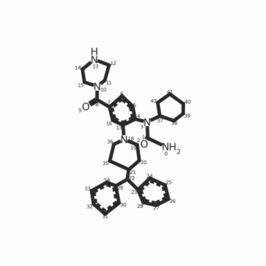 NC(=O)N(c1ccc(C(=O)N2CCNCC2)cc1N1CCC(C(c2ccccc2)c2ccccc2)CC1)C1CCCCC1